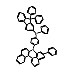 c1ccc(-c2cc3c4c(cccc4c2)-c2c(ccc4ccccc24)N3c2ccc(N(c3ccccc3)c3ccc4c(c3)C(c3ccccc3)(c3ccccc3)c3ccccc3-4)cc2)cc1